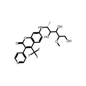 COC(CO)C(O)C(O)[C@@H](C)Nc1ccc2c(C(F)(F)F)c(-c3ccncc3)c(=O)oc2c1